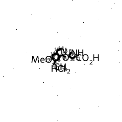 C=Cc1cc2c(O[C@H]3CN[C@H](C(=O)O)C3)nccc2cc1OC.Cl